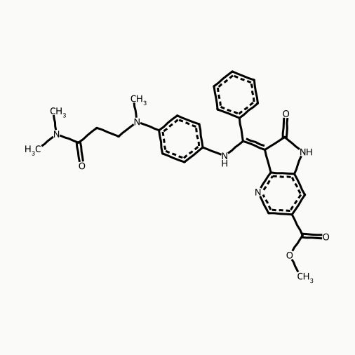 COC(=O)c1cnc2c(c1)NC(=O)C2=C(Nc1ccc(N(C)CCC(=O)N(C)C)cc1)c1ccccc1